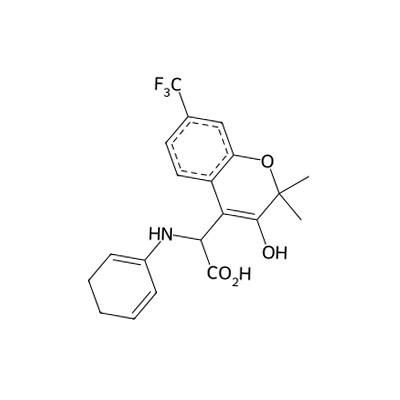 CC1(C)Oc2cc(C(F)(F)F)ccc2C(C(NC2=CCCC=C2)C(=O)O)=C1O